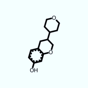 Oc1ccc2c(c1)OCC(C1CCOCC1)C2